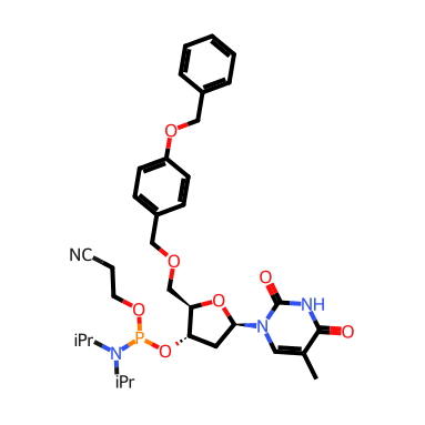 Cc1cn([C@H]2C[C@H](OP(OCCC#N)N(C(C)C)C(C)C)[C@@H](COCc3ccc(OCc4ccccc4)cc3)O2)c(=O)[nH]c1=O